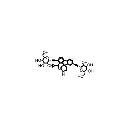 O=C(c1c(C#C[C@H]2O[C@H](CO)[C@@H](O)[C@H](O)[C@@H]2O)ccc2c1C1(CCNCC1)c1cc(C#C[C@H]3O[C@H](CO)[C@@H](O)[C@H](O)[C@@H]3O)ccc1-2)C1CC1